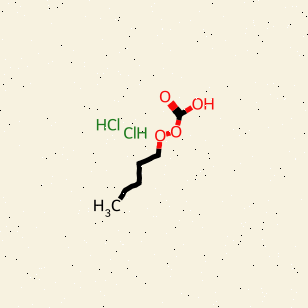 CCCCCOOC(=O)O.Cl.Cl